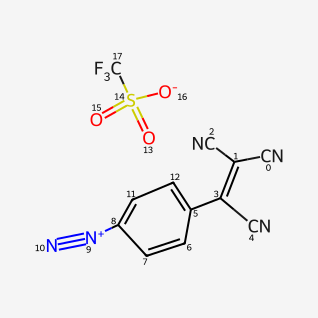 N#CC(C#N)=C(C#N)c1ccc([N+]#N)cc1.O=S(=O)([O-])C(F)(F)F